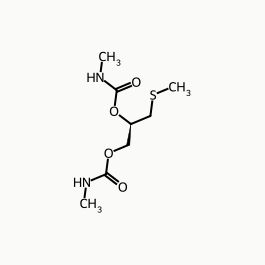 CNC(=O)OC[C@H](CSC)OC(=O)NC